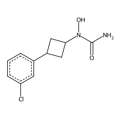 NC(=O)N(O)C1CC(c2cccc(Cl)c2)C1